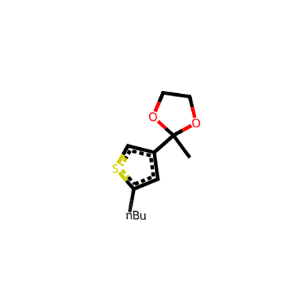 CCCCc1cc(C2(C)OCCO2)cs1